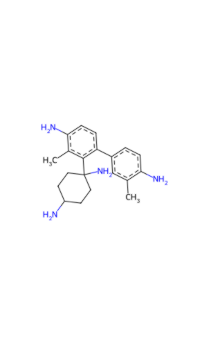 Cc1cc(-c2ccc(N)c(C)c2C2(N)CCC(N)CC2)ccc1N